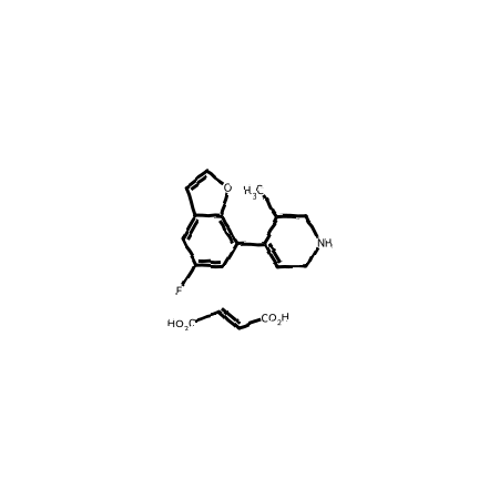 CC1CNCC=C1c1cc(F)cc2ccoc12.O=C(O)/C=C/C(=O)O